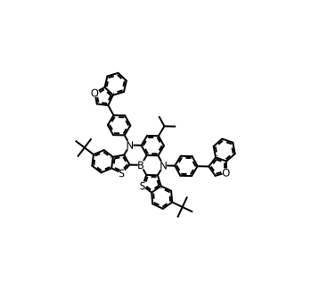 CC(C)c1cc2c3c(c1)N(c1ccc(-c4coc5ccccc45)cc1)c1c(sc4ccc(C(C)(C)C)cc14)B3c1sc3ccc(C(C)(C)C)cc3c1N2c1ccc(-c2coc3ccccc23)cc1